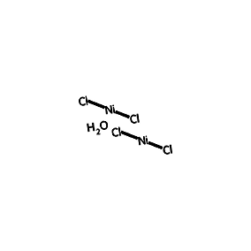 O.[Cl][Ni][Cl].[Cl][Ni][Cl]